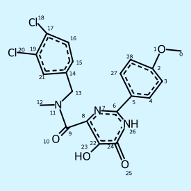 COc1ccc(-c2nc(C(=O)N(C)Cc3ccc(Cl)c(Cl)c3)c(O)c(=O)[nH]2)cc1